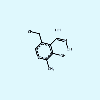 Cc1ncc(CCl)c(/C=N\O)c1O.Cl